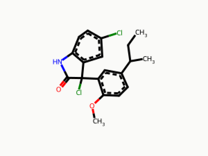 CCC(C)c1ccc(OC)c(C2(Cl)C(=O)Nc3ccc(Cl)cc32)c1